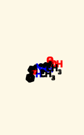 CCNC(/C=C(\C)C(=O)O)CNCc1ccc(-c2ccccc2)o1